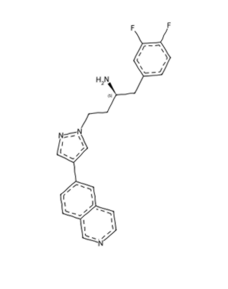 N[C@H](CCn1cc(-c2ccc3cnccc3c2)cn1)Cc1ccc(F)c(F)c1